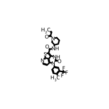 C=CC(=O)N1CCCC(NC(=O)c2sc3nccc4c3c2NC(=O)N4c2ccc(C)c(C(F)(F)F)c2)C1